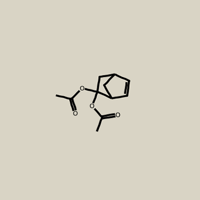 CC(=O)OC1(OC(C)=O)CC2C=CC1C2